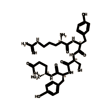 N=C(N)NCCC[C@H](N)C(=O)N[C@@H](Cc1ccc(O)cc1)C(=O)N[C@@H](CS)C(=O)N[C@@H](Cc1ccc(O)cc1)C(=O)N[C@@H](CCC(N)=O)C(=O)O